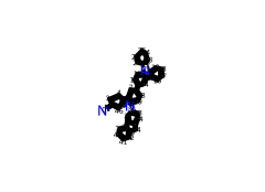 N#Cc1ccc2c3cc(-c4ccc5c(c4)c4ccccc4n5-c4ccccc4)ccc3n(-c3ccc4c(c3)-c3ccccc3C4)c2c1